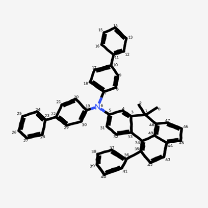 CC1(C)c2cc(N(c3ccc(-c4ccccc4)cc3)c3ccc(-c4ccccc4)cc3)ccc2-c2c(-c3ccccc3)ccc3cccc1c23